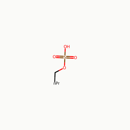 [CH2]CCCOS(=O)(=O)O